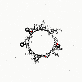 CCCC[C@H]1C(=O)N(C)[C@@H](CCCC)C(=O)N[C@@H](CC(C)(C)C)C(=O)N[C@H](C(=O)NCC(N)=O)CSCC(=O)N[C@@H](Cc2ccc(O)cc2)C(=O)N(C)[C@@H](C)C(=O)N[C@@H](CC(N)=O)C(=O)N2CCC[C@H]2C(=O)N[C@@H](Cc2c[nH]cn2)C(=O)N[C@@H](CCC(N)=O)C(=O)N2C[C@H](O)C[C@H]2C(=O)N[C@@H](Cc2c[nH]c3ccccc23)C(=O)N[C@@H](CO)C(=O)N[C@@H](Cc2c[nH]c3ccccc23)C(=O)N1C